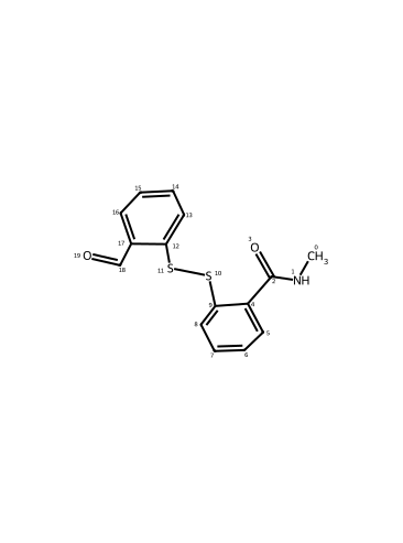 CNC(=O)c1ccccc1SSc1ccccc1C=O